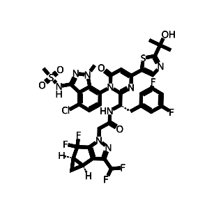 Cn1nc(NS(C)(=O)=O)c2c(Cl)ccc(-n3c([C@H](Cc4cc(F)cc(F)c4)NC(=O)Cn4nc(C(F)F)c5c4C(F)(F)[C@@H]4C[C@H]54)nc(-c4cnc(C(C)(C)O)s4)cc3=O)c21